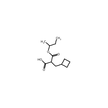 CCC(C)OC(=O)C(CC1CCC1)C(=O)O